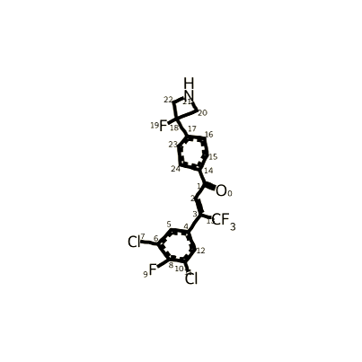 O=C(C=C(c1cc(Cl)c(F)c(Cl)c1)C(F)(F)F)c1ccc(C2(F)CNC2)cc1